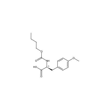 CCCCOC(=O)N[C@@H](Cc1ccc(OC)cc1)C(=O)O